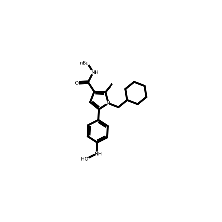 CCCCNC(=O)c1cc(-c2ccc(NO)cc2)n(CC2CCCCC2)c1C